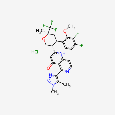 COc1c([C@@H]2C[C@](C)(C(F)(F)F)OC[C@H]2c2cc(=O)c3c(-c4nnn(C)c4C)nccc3[nH]2)ccc(F)c1F.Cl